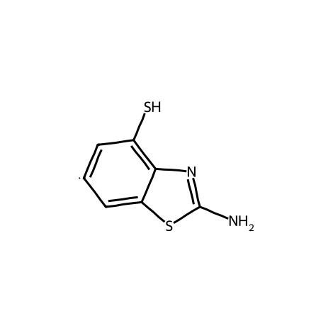 Nc1nc2c(S)c[c]cc2s1